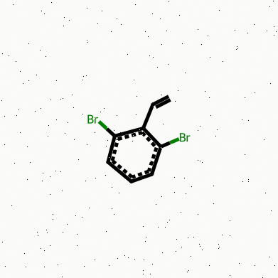 C=Cc1c(Br)cccc1Br